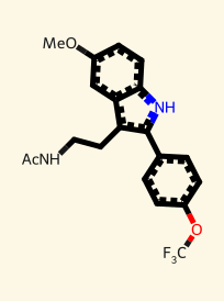 COc1ccc2[nH]c(-c3ccc(OC(F)(F)F)cc3)c(CCNC(C)=O)c2c1